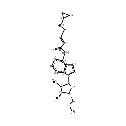 CC(C)OC[C@H]1O[C@@H](n2cnc3c(NC(=O)/C=C/CNC4CC4)ncnc32)[C@H](O)[C@@H]1O